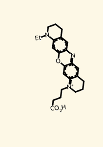 CCN1CCCc2cc3c(cc21)Oc1cc2c(cc1=N3)CCC[N+]=2CCCC(=O)O